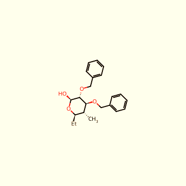 CC[C@H]1O[C@@H](O)[C@H](OCc2ccccc2)[C@@H](OCc2ccccc2)[C@@H]1C